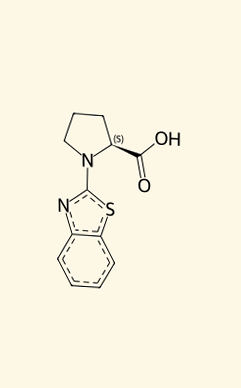 O=C(O)[C@@H]1CCCN1c1nc2ccccc2s1